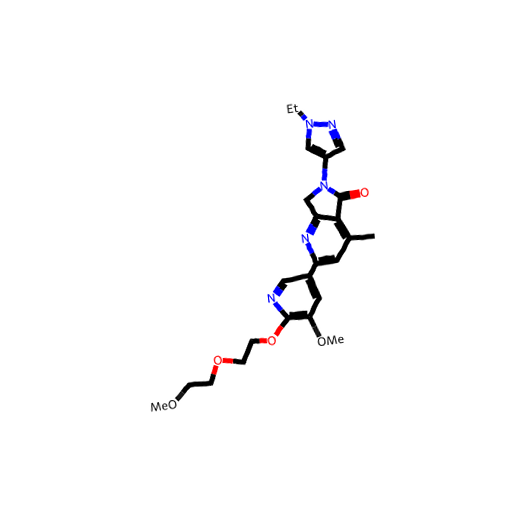 CCn1cc(N2Cc3nc(-c4cnc(OCCOCCOC)c(OC)c4)cc(C)c3C2=O)cn1